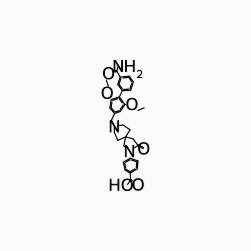 CCOc1cc(CN2CCC3(CC2)CC(=O)N(c2ccc(C(=O)O)cc2)C3)cc(OCC)c1-c1cccc(C(N)=O)c1